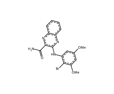 COc1cc(Nc2nc3ccccc3nc2C(N)=O)c(Br)c(OC)c1